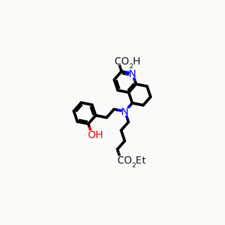 CCOC(=O)CCCCN(CCc1ccccc1O)C1CCCc2nc(C(=O)O)ccc21